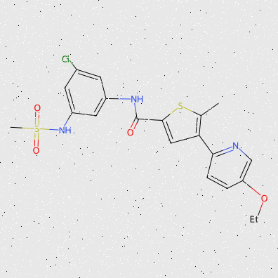 CCOc1ccc(-c2cc(C(=O)Nc3cc(Cl)cc(NS(C)(=O)=O)c3)sc2C)nc1